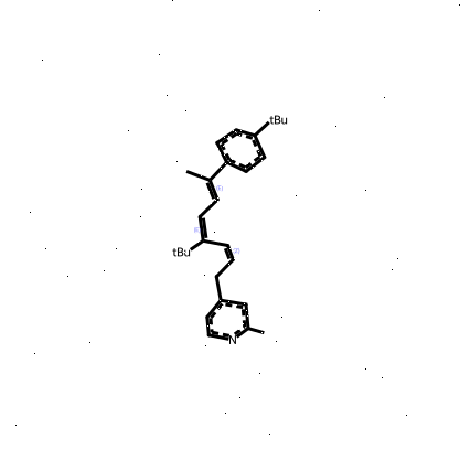 C\C(=C/C=C(\C=C/Cc1ccnc(C)c1)C(C)(C)C)c1ccc(C(C)(C)C)cc1